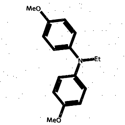 CCN(c1ccc(OC)cc1)c1ccc(OC)cc1